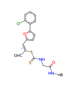 CCCCNC(=O)CNC(=S)S/C(C=O)=C\c1ccc(-c2ccccc2Cl)o1